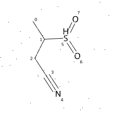 CC(CC#N)[SH](=O)=O